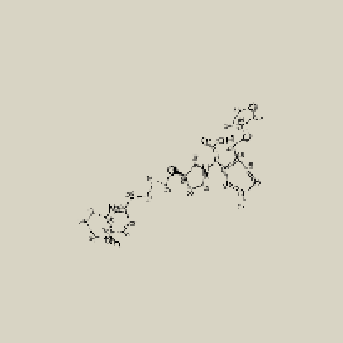 O=C(O)C(c1cc(F)ccc1CO[C@@H]1CCOC1)N1CC[C@@H](OCCCCc2ccc3c(n2)CCCN3)C1